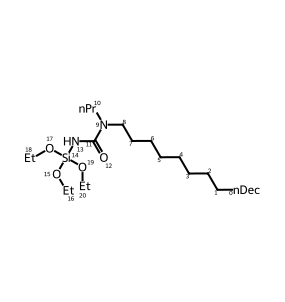 CCCCCCCCCCCCCCCCCCN(CCC)C(=O)N[Si](OCC)(OCC)OCC